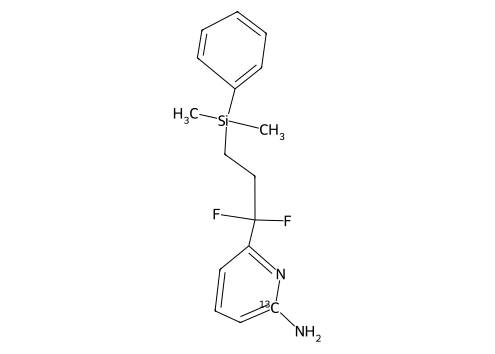 C[Si](C)(CCC(F)(F)c1ccc[13c](N)n1)c1ccccc1